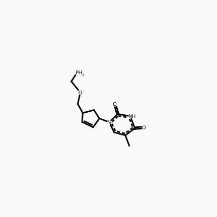 Cc1cn(C2C=CC(COCP)C2)c(=O)[nH]c1=O